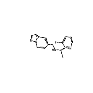 CC(NCc1ccn2nccc2c1)c1ncccc1F